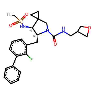 CS(=O)(=O)N[C@@H]1[C@H](Cc2cccc(-c3ccccc3)c2F)N(C(=O)NCC2COC2)CC12CC2